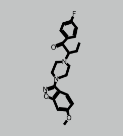 CCC(C(=O)c1ccc(F)cc1)N1CCN(c2noc3cc(OC)ccc23)CC1